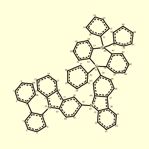 c1ccc(-c2ccccc2-n2c3ccccc3c3cc(-n4c5ccccc5c5ccc([Si]6(c7ccccc7)c7ccccc7[Si](c7ccccc7)(c7ccccc7)c7ccccc76)cc54)ccc32)cc1